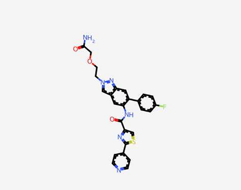 NC(=O)COCCn1cc2cc(NC(=O)c3csc(-c4ccncc4)n3)c(-c3ccc(F)cc3)cc2n1